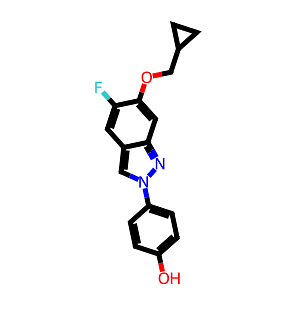 Oc1ccc(-n2cc3cc(F)c(OCC4CC4)cc3n2)cc1